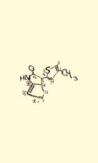 Cc1csc(C2C(=O)Nc3ccccc32)c1